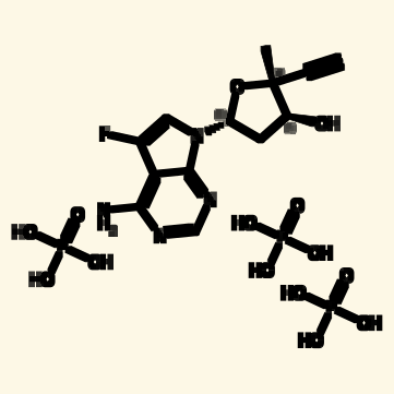 C#C[C@@]1(C)O[C@@H](n2cc(F)c3c(N)ncnc32)C[C@@H]1O.O=P(O)(O)O.O=P(O)(O)O.O=P(O)(O)O